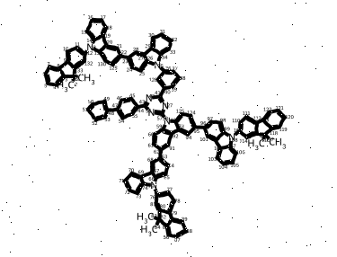 CC1(C)c2ccccc2-c2ccc(-n3c4ccccc4c4cc(-c5ccc6c(c5)c5ccccc5n6-c5cccc(-c6nc(-c7ccc(-c8ccccc8)cc7)nc(-n7c8ccc(-c9ccc%10c(c9)c9ccccc9n%10-c9ccc%10c(c9)C(C)(C)c9ccccc9-%10)cc8c8cc(-c9ccc%10c(c9)c9ccccc9n%10-c9ccc%10c(c9)C(C)(C)c9ccccc9-%10)ccc87)n6)c5)ccc43)cc21